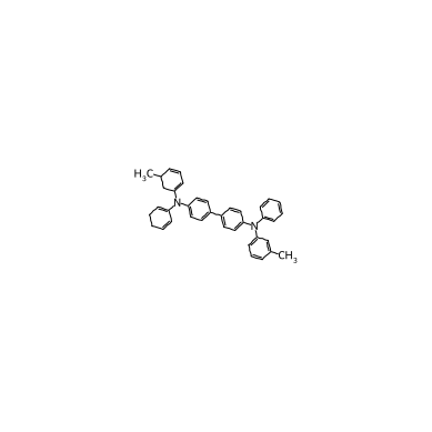 Cc1cccc(N(c2ccccc2)c2ccc(-c3ccc(N(C4=CCCC=C4)C4=CC=CC(C)C4)cc3)cc2)c1